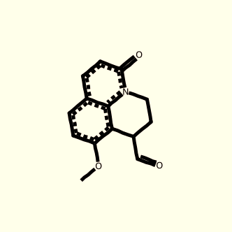 COc1ccc2ccc(=O)n3c2c1C(C=O)CC3